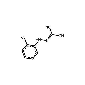 N#CC(C#N)=NNc1ccccc1Cl